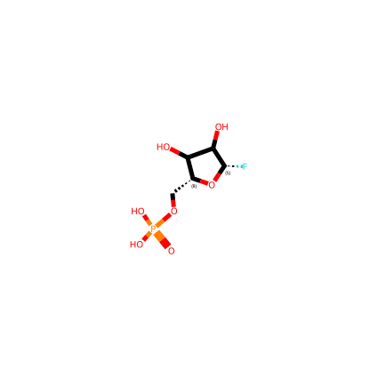 O=P(O)(O)OC[C@H]1O[C@@H](F)C(O)C1O